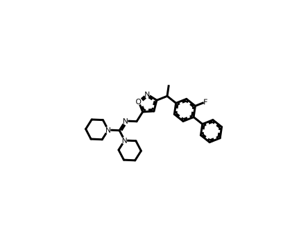 CC(c1ccc(-c2ccccc2)c(F)c1)c1cc(CN=C(N2CCCCC2)N2CCCCC2)on1